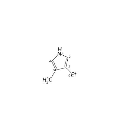 CCc1c[nH]cc1C